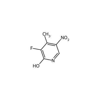 Cc1c([N+](=O)[O-])cnc(O)c1F